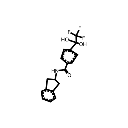 O=C(NC1Cc2ccccc2C1)c1ccc(C(O)(O)C(F)(F)F)cc1